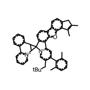 CC1=C(C)c2c(ccc3c2oc2c4c(ccc23)C2(C3c5ccccc5-c5cccc[n+]5C32)[n+]2cc(CC(C)(C)C)c(-c3c(C)cccc3C)cc2-4)C1